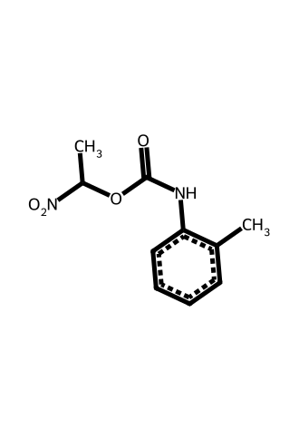 Cc1ccccc1NC(=O)OC(C)[N+](=O)[O-]